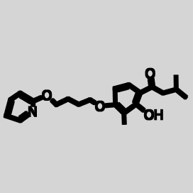 Cc1c(OCCCCOc2ccccn2)ccc(C(=O)CC(C)C)c1O